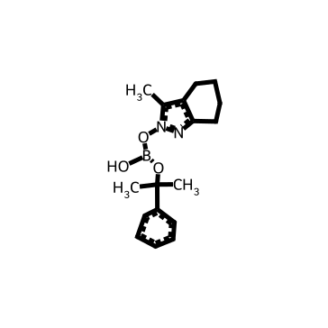 Cc1c2c(nn1OB(O)OC(C)(C)c1ccccc1)CCCC2